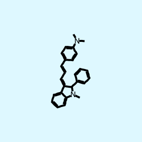 CN(C)c1ccc(C=CC=C2c3ccccc3N(C)C2c2ccccc2)cc1